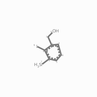 OCc1cccc([SiH3])c1I